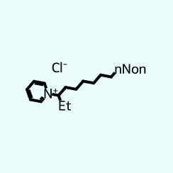 CCCCCCCCCCCCCCCC(CC)[n+]1ccccc1.[Cl-]